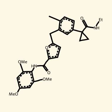 CCNC(=O)C1(c2ccc(C)c(Cc3ccc(C(=O)Nc4c(OC)cc(OC)cc4OC)o3)c2)CC1